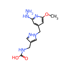 COc1cc(Cn2cc(CNC(=O)O)cn2)cc(NN)n1